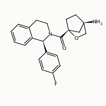 N[C@]12CC[C@](C(=O)N3CCc4ccccc4[C@@H]3c3ccc(F)cc3)(C1)OC2